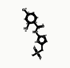 CS(=O)(=O)Cc1cnc(NC(=O)c2ccc(Cl)cc2O)s1